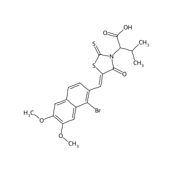 COc1cc2ccc(/C=C3\SC(=S)N(C(C(=O)O)C(C)C)C3=O)c(Br)c2cc1OC